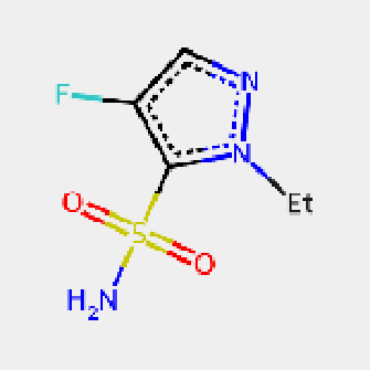 CCn1ncc(F)c1S(N)(=O)=O